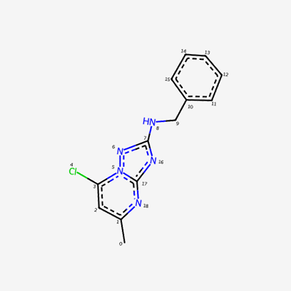 Cc1cc(Cl)n2nc(NCc3ccccc3)nc2n1